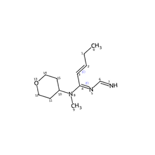 CC/C=C/C(=N\C=N)N(C)C1CCOCC1